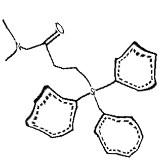 CN(C)C(=O)CC[Si](c1ccccc1)(c1ccccc1)c1ccccc1